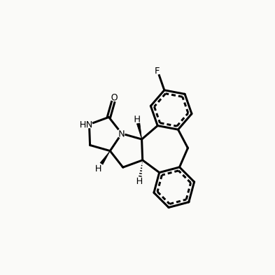 O=C1NC[C@H]2C[C@@H]3c4ccccc4Cc4ccc(F)cc4[C@H]3N12